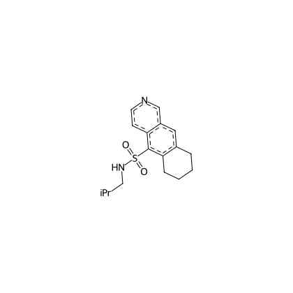 CC(C)CNS(=O)(=O)c1c2c(cc3cnccc13)CCCC2